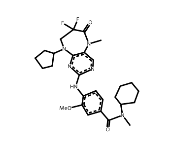 COc1cc(C(=O)N(C)C2CCCCC2)ccc1Nc1ncc2c(n1)N(C1CCCC1)CC(F)(F)C(=O)N2C